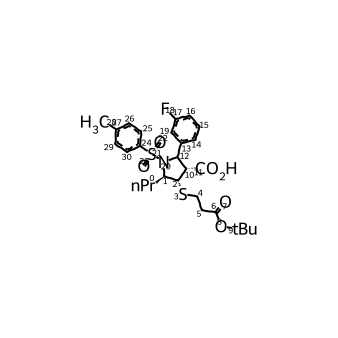 CCC[C@@H]1[C@@H](SCCC(=O)OC(C)(C)C)[C@@H](C(=O)O)C(c2cccc(F)c2)N1S(=O)(=O)c1ccc(C)cc1